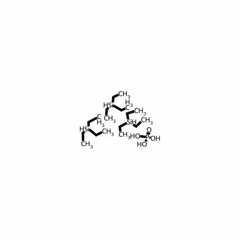 CC[SiH](CC)CC.CC[SiH](CC)CC.CC[SiH](CC)CC.O=P(O)(O)O